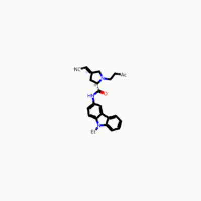 CCn1c2ccccc2c2cc(NC(=O)[C@@H]3C/C(=C\C#N)CN3CCC(C)=O)ccc21